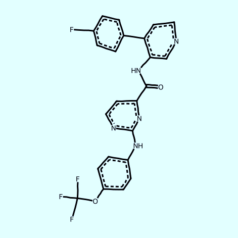 O=C(Nc1cnccc1-c1ccc(F)cc1)c1ccnc(Nc2ccc(OC(F)(F)F)cc2)n1